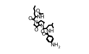 CCCCC(NC(C)=O)C(=O)N1CC(=O)C2C1CCN2C(=O)C(CC(C)C)NC(=O)c1ccc(N)cc1